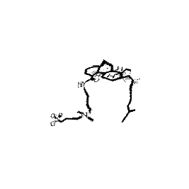 CC(C)CCC[C@@H](C)[C@H]1CC[C@H]2[C@@H]3CCC4CCCC(C(=O)NCCC[N+](C)(C)CCCS(=O)(=O)[O-])[C@]4(C)[C@H]3CC[C@]12C